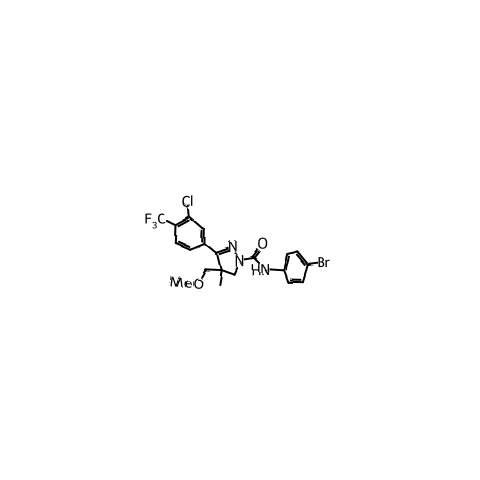 COCC1(C)CN(C(=O)Nc2ccc(Br)cc2)N=C1c1ccc(C(F)(F)F)c(Cl)c1